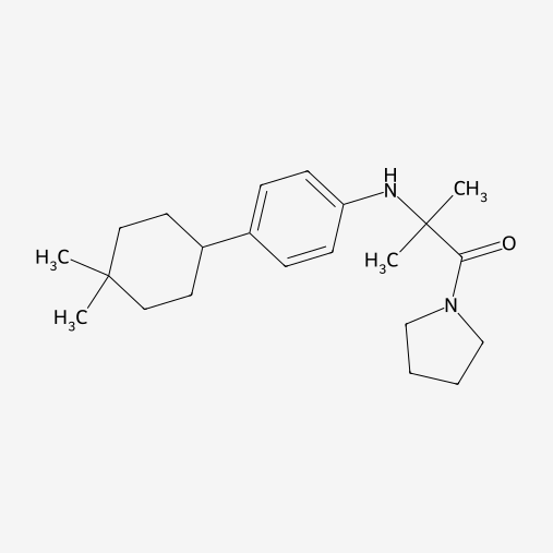 CC1(C)CCC(c2ccc(NC(C)(C)C(=O)N3CCCC3)cc2)CC1